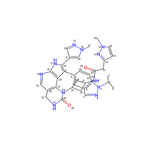 CC(C)n1ncc2cc(-c3c(-c4cnn(C)c4)[nH]c4ncc5c(c34)N(C3CC(NC(=O)Cc4ccn(C)n4)C3)C(=O)NC5)ccc21